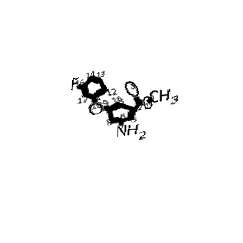 COC(=O)c1cc(N)cc(Oc2cccc(F)c2)c1